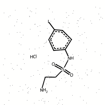 Cl.NCCS(=O)(=O)Nc1ccc(I)cc1